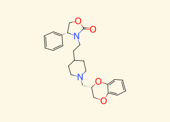 O=C1OC[C@@H](c2ccccc2)N1CCC1CCN(C[C@H]2COc3ccccc3O2)CC1